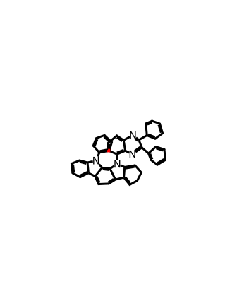 C1=c2c(n(-c3cccc4nc(-c5ccccc5)c(-c5ccccc5)nc34)c3c2ccc2c4ccccc4n(-c4ccccc4)c23)=CCC1